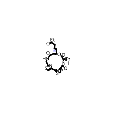 CCC(=O)C/C=C/C1CC(=O)NCc2nc(cs2)C2=N[C@@](C)(CS2)C(=O)NC(C(C)C)C(=O)O1